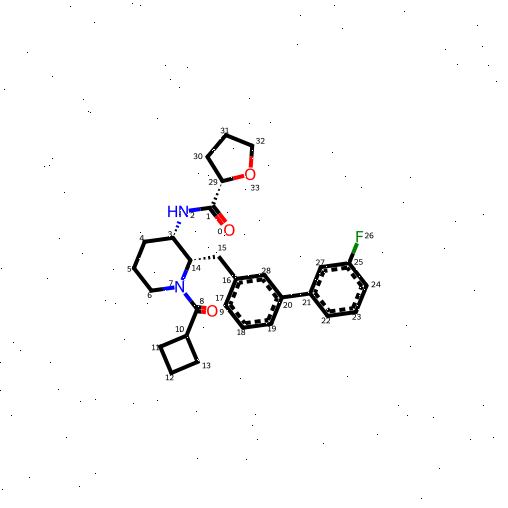 O=C(N[C@H]1CCCN(C(=O)C2CCC2)[C@H]1Cc1cccc(-c2cccc(F)c2)c1)[C@@H]1CCCO1